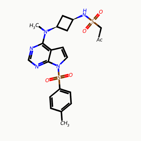 CC(=O)CS(=O)(=O)N[C@H]1C[C@@H](N(C)c2ncnc3c2ccn3S(=O)(=O)c2ccc(C)cc2)C1